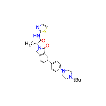 C[C@@H](C(=O)Nc1nccs1)N1Cc2ccc(-c3ccc(N4CCN(C(C)(C)C)CC4)cc3)cc2C1=O